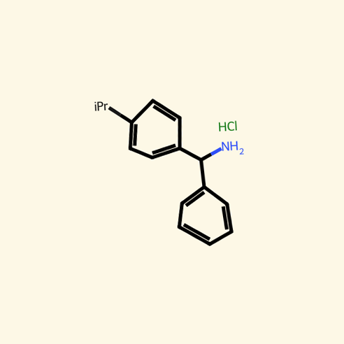 CC(C)c1ccc(C(N)c2ccccc2)cc1.Cl